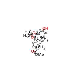 COC(=O)/C=C1\CCC2C3C(CC[C@]12C)[C@@]1(C)CC[C@H](O)CC1[C@H]1OC(C)(C)O[C@H]31